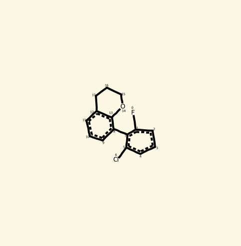 Fc1cccc(Cl)c1-c1cccc2c1OCCC2